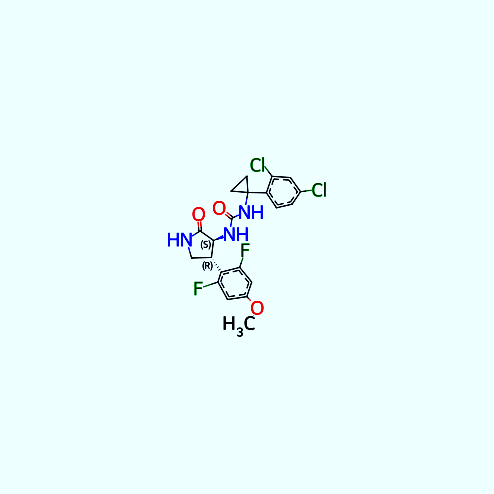 COc1cc(F)c([C@@H]2CNC(=O)[C@H]2NC(=O)NC2(c3ccc(Cl)cc3Cl)CC2)c(F)c1